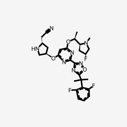 C[C@H](Oc1cc(O[C@H]2CN[C@H](CC#N)C2)nc(-c2noc(C(C)(C)c3c(F)cccc3F)n2)n1)[C@@H]1C[C@@H](F)CN1C